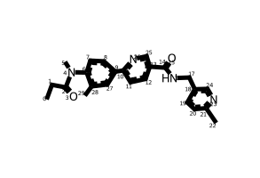 CCC(=O)N(C)c1ccc(-c2ccc(C(=O)NCc3ccc(C)nc3)cn2)cc1C